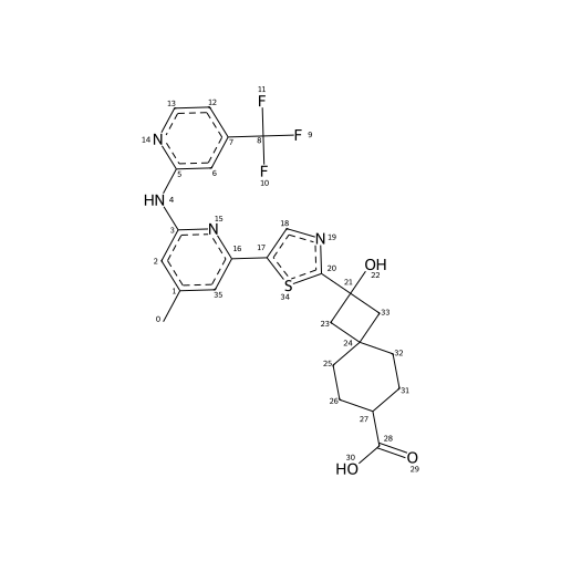 Cc1cc(Nc2cc(C(F)(F)F)ccn2)nc(-c2cnc(C3(O)CC4(CCC(C(=O)O)CC4)C3)s2)c1